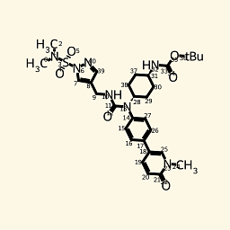 CN(C)S(=O)(=O)n1cc(CNC(=O)N(c2ccc(-c3ccc(=O)n(C)c3)cc2)[C@H]2CC[C@H](NC(=O)OC(C)(C)C)CC2)cn1